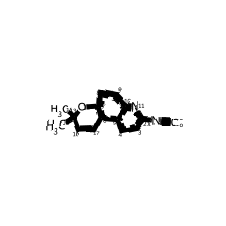 [C-]#[N+]c1ccc2c3c(ccc2n1)OC(C)(C)C=C3